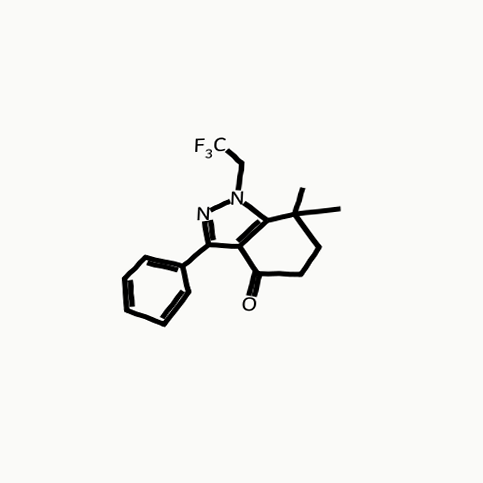 CC1(C)CCC(=O)c2c(-c3ccccc3)nn(CC(F)(F)F)c21